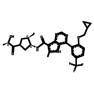 Cc1[nH]c2c(-c3cc(C(F)(F)F)ccc3OCC3CC3)ncnc2c1C(=O)N[C@@H]1CN(C(=O)[C@H](C)O)C[C@@H]1F